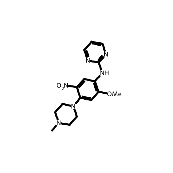 COc1cc(N2CCN(C)CC2)c([N+](=O)[O-])cc1Nc1ncccn1